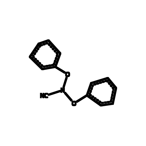 N#CN(Oc1ccccc1)Oc1ccccc1